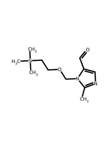 Cc1ncc(C=O)n1COCC[Si](C)(C)C